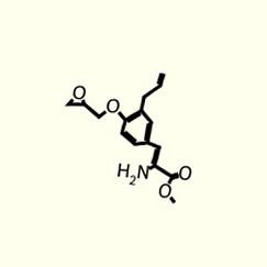 C=CCc1cc(C=C(N)C(=O)OC)ccc1OCC1CO1